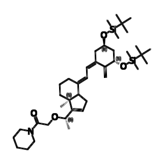 C=C1C(=CC=C2CCC[C@]3(C)C([C@H](C)OCC(=O)N4CCCCC4)=CCC23)C[C@@H](O[Si](C)(C)C(C)(C)C)C[C@@H]1O[Si](C)(C)C(C)(C)C